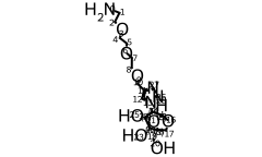 NCCOCCOCCOCc1cn([C@H]2[C@H]3OC[C@](CO)(O3)[C@H](O)[C@@H]2O)nn1